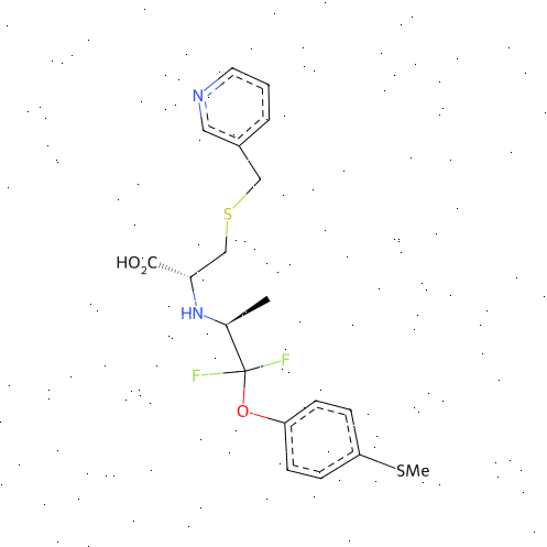 CSc1ccc(OC(F)(F)[C@H](C)N[C@@H](CSCc2cccnc2)C(=O)O)cc1